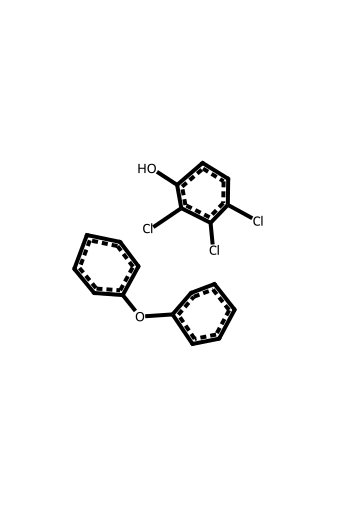 Oc1ccc(Cl)c(Cl)c1Cl.c1ccc(Oc2ccccc2)cc1